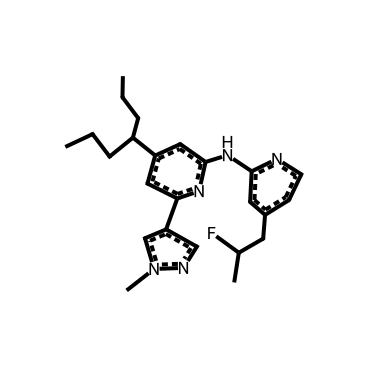 CCCC(CCC)c1cc(Nc2cc(CC(C)F)ccn2)nc(-c2cnn(C)c2)c1